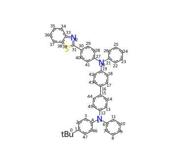 CC(C)(C)c1ccc(N(c2ccccc2)c2ccc(-c3ccc(N(c4ccccc4)c4ccc(-c5nc6ccccc6s5)cc4)cc3)cc2)cc1